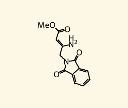 COC(=O)/C=C(\N)CN1C(=O)c2ccccc2C1=O